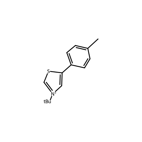 Cc1ccc(-c2c[n+](C(C)(C)C)cs2)cc1